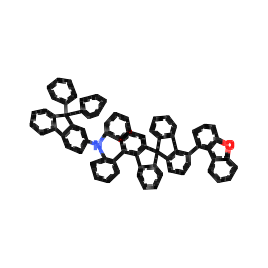 c1ccc(N(c2ccc3c(c2)C(c2ccccc2)(c2ccccc2)c2ccccc2-3)c2ccccc2-c2cccc3c2-c2ccccc2C32c3ccccc3-c3c(-c4cccc5oc6ccccc6c45)cccc32)cc1